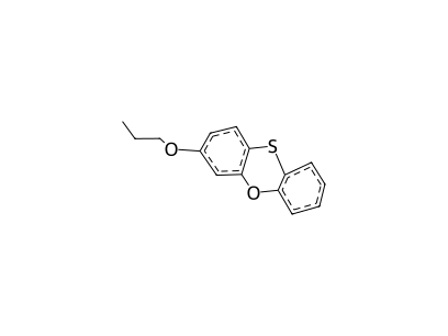 CCCOc1ccc2c(c1)Oc1ccccc1S2